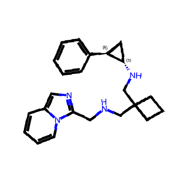 c1ccc([C@H]2C[C@@H]2NCC2(CNCc3ncc4ccccn34)CCC2)cc1